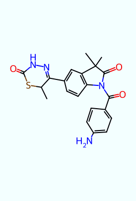 CC1SC(=O)NN=C1c1ccc2c(c1)C(C)(C)C(=O)N2C(=O)c1ccc(N)cc1